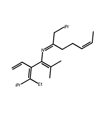 C=C/C(C(/N=C(\CC/C=C\C)CC(C)C)=C(C)C)=C(/CC)C(C)C